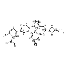 Fc1ccc(N2CCC(c3nnc4n3-c3ccc(Cl)cc3CN(C3CC(C(F)(F)F)C3)C4)CC2)nc1C(F)F